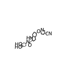 N#Cc1ccc(Oc2ccc3nc(C(=O)NC4CCS(O)(O)C4)ccc3c2)nc1